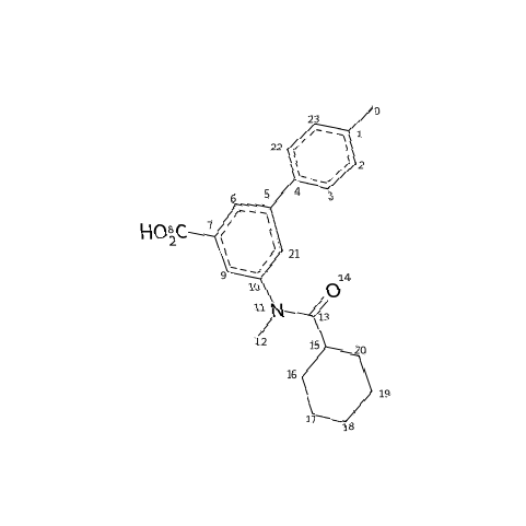 Cc1ccc(-c2cc(C(=O)O)cc(N(C)C(=O)C3CCCCC3)c2)cc1